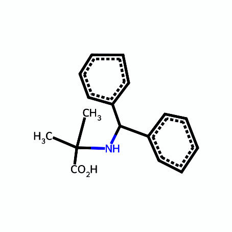 CC(C)(NC(c1ccccc1)c1ccccc1)C(=O)O